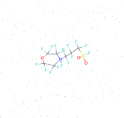 O=S(=O)(F)C(F)(F)C(F)(F)C(F)(F)[N+]1(F)C(F)(F)C(F)(F)OC(F)(F)C1(F)F